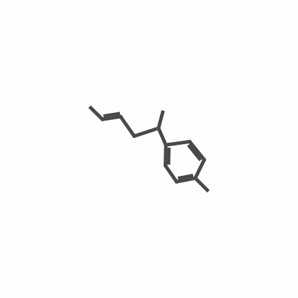 C/C=C/CC(C)c1ccc(C)cc1